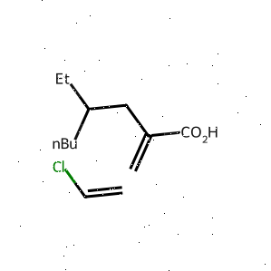 C=C(CC(CC)CCCC)C(=O)O.C=CCl